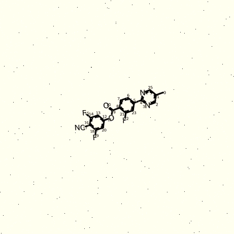 Cc1cnc(-c2ccc(C(=O)Oc3cc(F)c(C#N)c(F)c3)c(F)c2)nc1